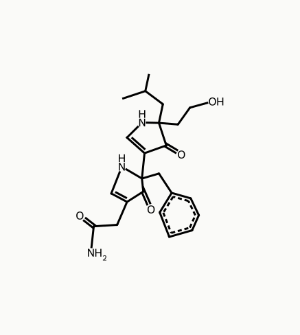 CC(C)CC1(CCO)NC=C(C2(Cc3ccccc3)NC=C(CC(N)=O)C2=O)C1=O